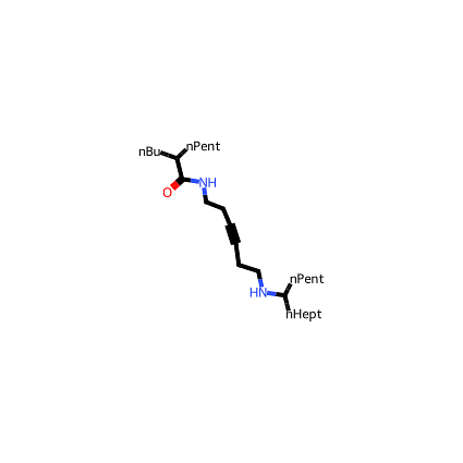 CCCCCCCC(CCCCC)NCCC#CCCNC(=O)C(CCCC)CCCCC